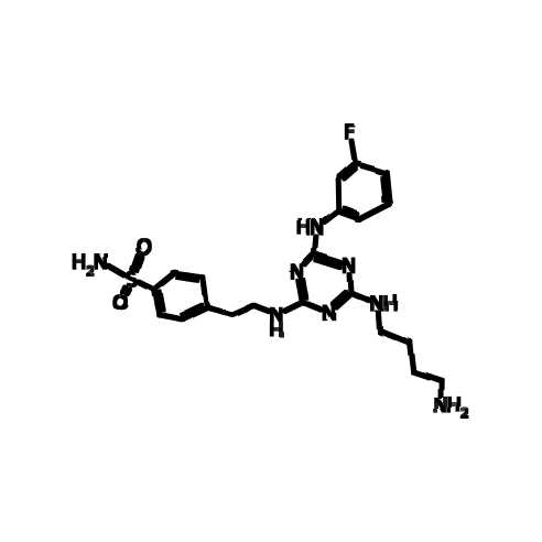 NCCCCNc1nc(NCCc2ccc(S(N)(=O)=O)cc2)nc(Nc2cccc(F)c2)n1